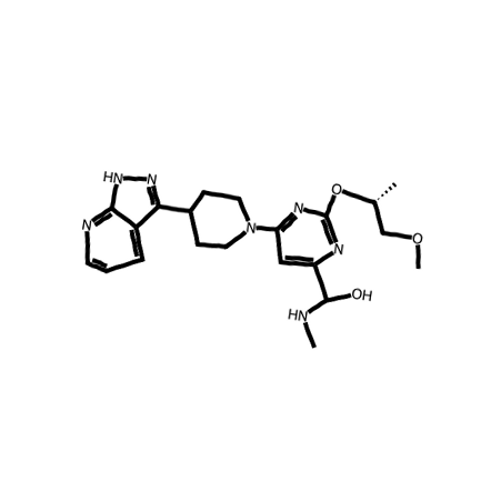 CNC(O)c1cc(N2CCC(c3n[nH]c4ncccc34)CC2)nc(O[C@H](C)COC)n1